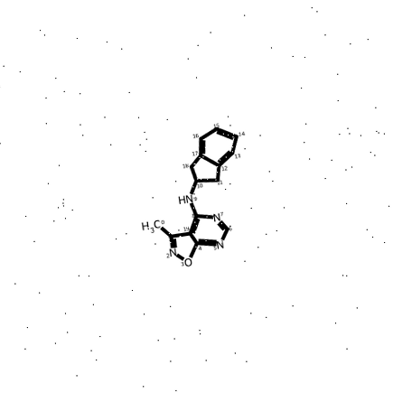 Cc1noc2ncnc(NC3Cc4ccccc4C3)c12